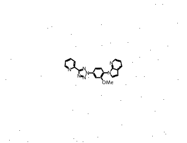 COc1cc(-n2nnc(-c3ccccn3)n2)ccc1-n1ccc2cccnc21